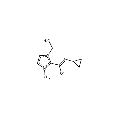 CCn1cc[n+](C)c1/C([O-])=N/C1CC1